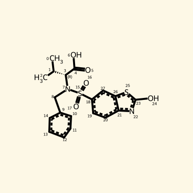 CC(C)[C@H](C(=O)O)N(Cc1ccccc1)S(=O)(=O)c1ccc2nc(O)sc2c1